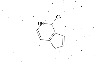 N#CC1NC=CC2=C1C=CC2